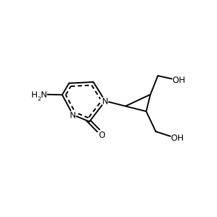 Nc1ccn(C2C(CO)C2CO)c(=O)n1